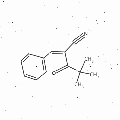 CC(C)(C)C(=O)C(C#N)=Cc1ccccc1